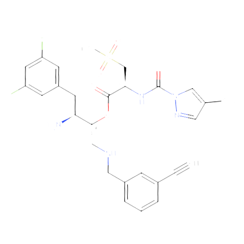 C#Cc1cccc(CNC[C@@H](OC(=O)[C@@H](CS(=O)(=O)CCCC)NC(=O)n2cc(C)cn2)[C@@H](N)Cc2cc(F)cc(F)c2)c1